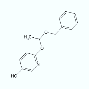 CC(OCc1ccccc1)Oc1ccc(O)cn1